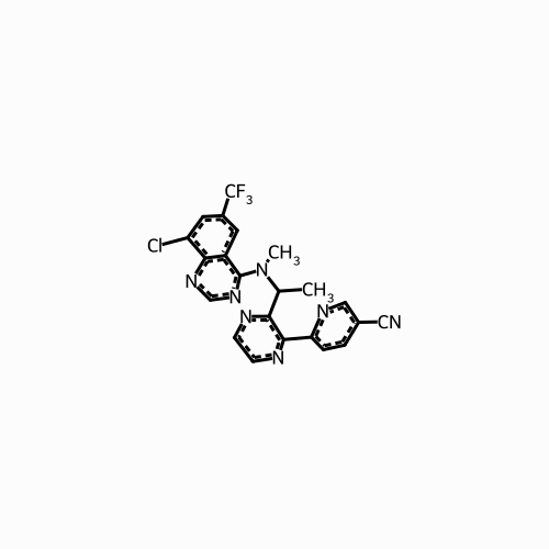 CC(c1nccnc1-c1ccc(C#N)cn1)N(C)c1ncnc2c(Cl)cc(C(F)(F)F)cc12